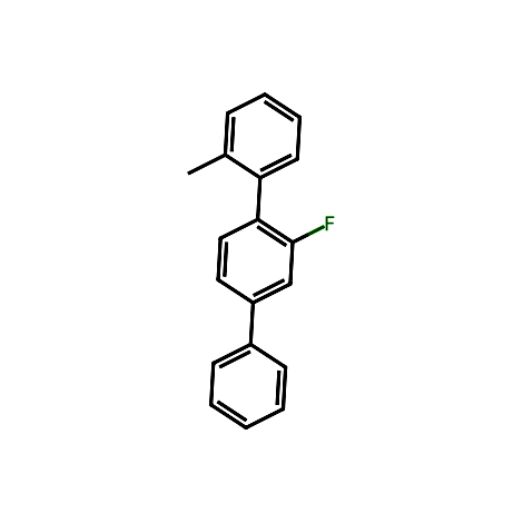 Cc1ccccc1-c1ccc(-c2ccccc2)cc1F